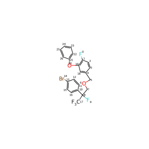 Fc1ccc(COCC(F)(c2ccc(Br)cc2)C(F)(F)F)cc1Oc1ccccc1